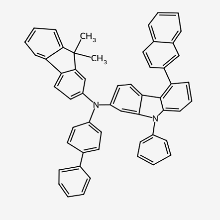 CC1(C)c2ccccc2-c2ccc(N(c3ccc(-c4ccccc4)cc3)c3ccc4c5c(-c6ccc7ccccc7c6)cccc5n(-c5ccccc5)c4c3)cc21